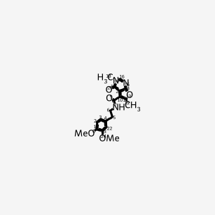 COc1ccc(CCNC(=O)c2c(C)oc3ncn(C)c(=O)c23)cc1OC